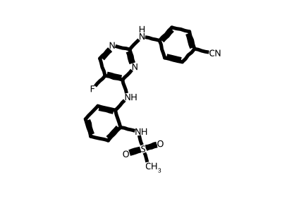 CS(=O)(=O)Nc1ccccc1Nc1nc(Nc2ccc(C#N)cc2)ncc1F